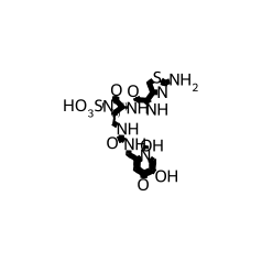 N=C(C(=O)N[C@@H]1C(=O)N(S(=O)(=O)O)[C@@H]1CNC(=O)NCc1cc(=O)c(O)cn1O)C1CSC(N)=N1